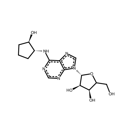 OCC1O[C@@H](n2cnc3c(N[C@@H]4CCC[C@H]4O)ncnc32)[C@H](O)[C@@H]1O